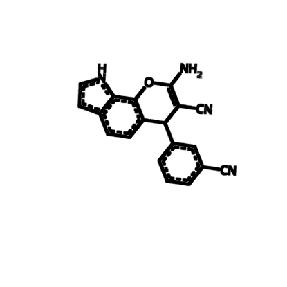 N#CC1=C(N)Oc2c(ccc3cc[nH]c23)C1c1cccc(C#N)c1